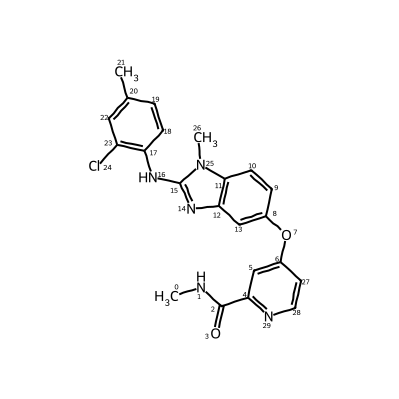 CNC(=O)c1cc(Oc2ccc3c(c2)nc(Nc2ccc(C)cc2Cl)n3C)ccn1